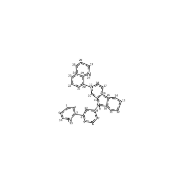 c1ccc(-c2cccc(-n3c4ccccc4c4ccc(-c5cccc6cccnc56)cc43)c2)nc1